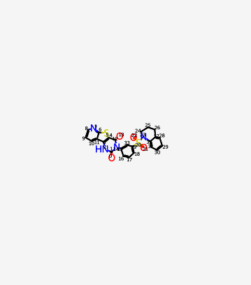 O=c1[nH]c2c(sc3ncccc32)c(=O)n1-c1cccc(S(=O)(=O)N2CCCc3ccccc32)c1